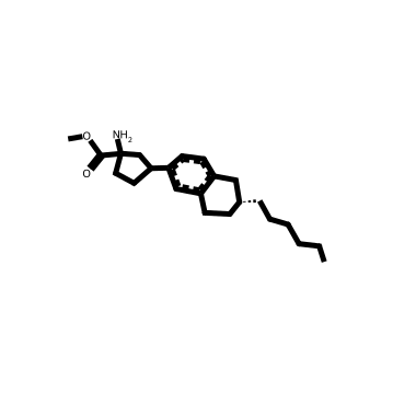 CCCCCC[C@@H]1CCc2cc(C3CCC(N)(C(=O)OC)C3)ccc2C1